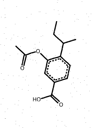 CCC(C)c1ccc(C(=O)O)cc1OC(C)=O